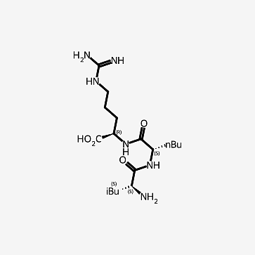 CCCC[C@H](NC(=O)[C@@H](N)[C@@H](C)CC)C(=O)N[C@H](CCCNC(=N)N)C(=O)O